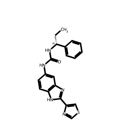 CC[C@@H](NC(=O)Nc1ccc2[nH]c(-c3cscn3)nc2c1)c1ccccc1